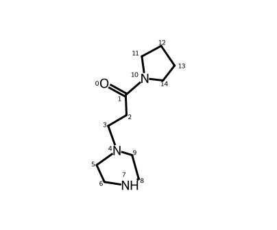 O=C(CCN1CCNCC1)N1CCCC1